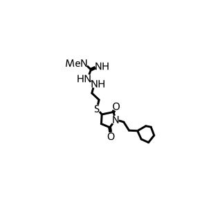 CNC(=N)NNCCSC1CC(=O)N(CCC2CCCCC2)C1=O